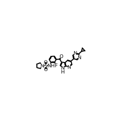 O=C(c1cccc(NS(=O)(=O)N2CCCC2)c1F)c1c[nH]c2ncc(-c3cnc(C4CC4)nc3)cc12